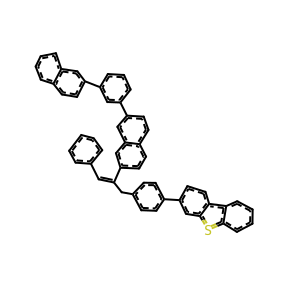 C(=C(\Cc1ccc(-c2ccc3c(c2)sc2ccccc23)cc1)c1ccc2ccc(-c3cccc(-c4ccc5ccccc5c4)c3)cc2c1)/c1ccccc1